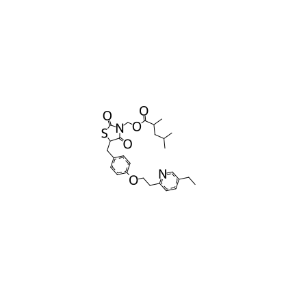 CCc1ccc(CCOc2ccc(CC3SC(=O)N(COC(=O)C(C)CC(C)C)C3=O)cc2)nc1